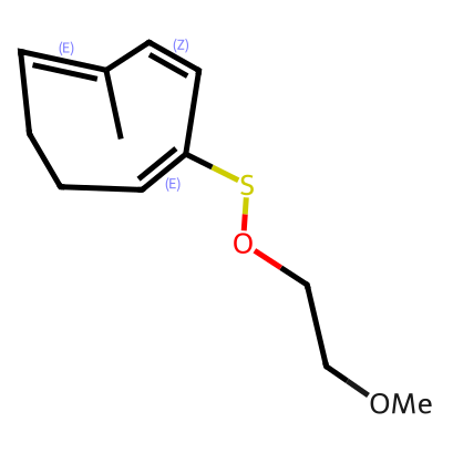 COCCOSC1=C/CC/C=C(C)/C=C\1